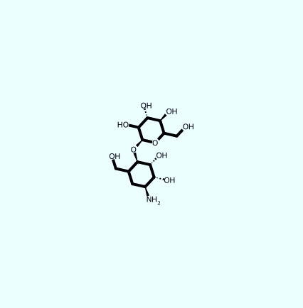 N[C@H]1CC(CO)[C@@H](O[C@@H]2OC(CO)[C@H](O)[C@@H](O)C2O)[C@H](O)[C@@H]1O